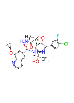 C[C@]1(C(N)=O)COc2c1cc(C(O)(CNC(=O)c1cc(OC3CC3)c3ncccc3c1)C(F)(F)F)nc2-c1ccc(Cl)c(F)c1